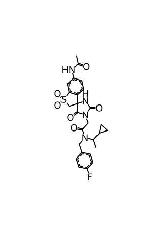 CC(=O)Nc1ccc2c(c1)S(=O)(=O)CC21NC(=O)N(CC(=O)N(Cc2ccc(F)cc2)C(C)C2CC2)C1=O